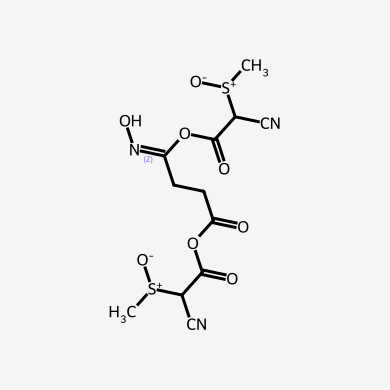 C[S+]([O-])C(C#N)C(=O)OC(=O)CC/C(=N/O)OC(=O)C(C#N)[S+](C)[O-]